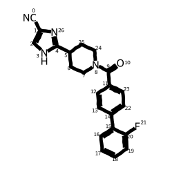 N#Cc1c[nH]c(C2CCN(C(=O)c3ccc(-c4ccccc4F)cc3)CC2)n1